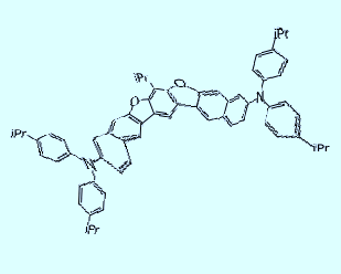 CC(C)c1ccc(N(c2ccc(C(C)C)cc2)c2ccc3cc4c(cc3c2)oc2c(C(C)C)c3oc5cc6cc(N(c7ccc(C(C)C)cc7)c7ccc(C(C)C)cc7)ccc6cc5c3cc24)cc1